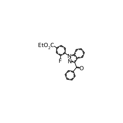 CCOC(=O)c1ccc(-n2nc(C(=O)c3ccccc3)c3ccccc32)c(F)c1